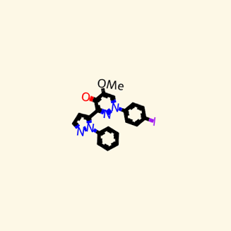 COc1cn(-c2ccc(I)cc2)nc(-c2ccnn2-c2ccccc2)c1=O